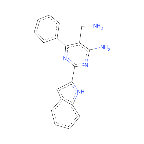 NCc1c(N)nc(-c2cc3ccccc3[nH]2)nc1-c1ccccc1